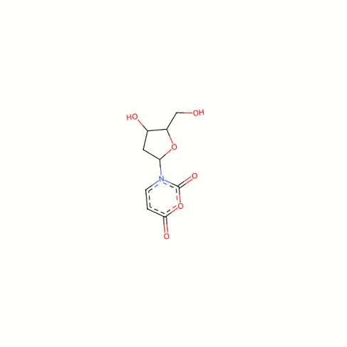 O=c1ccn(C2CC(O)C(CO)O2)c(=O)o1